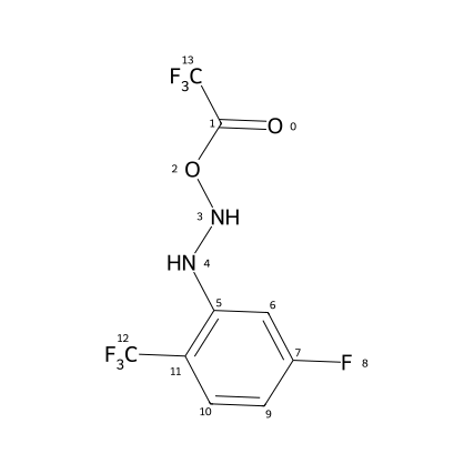 O=C(ONNc1cc(F)ccc1C(F)(F)F)C(F)(F)F